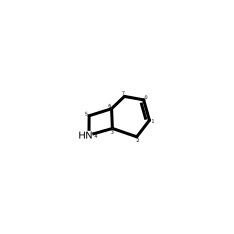 C1=CCC2NCC2C1